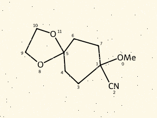 COC1(C#N)CCC2(CC1)OCCO2